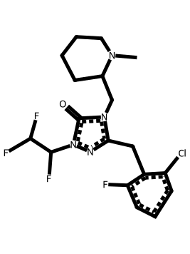 CN1CCCCC1Cn1c(Cc2c(F)cccc2Cl)nn(C(F)C(F)F)c1=O